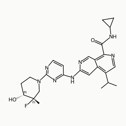 CC(C)c1cnc(C(=O)NC2CC2)c2cnc(Nc3ccnc(N4CC[C@@H](O)[C@@](C)(F)C4)n3)cc12